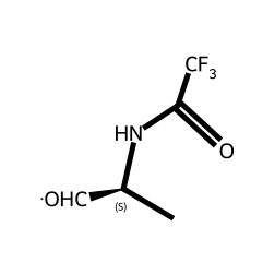 C[C@@H]([C]=O)NC(=O)C(F)(F)F